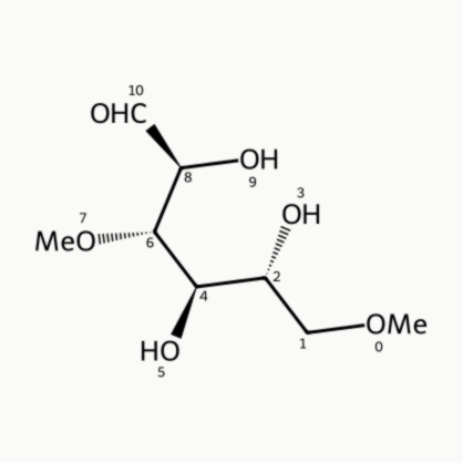 COC[C@@H](O)[C@@H](O)[C@H](OC)[C@H](O)C=O